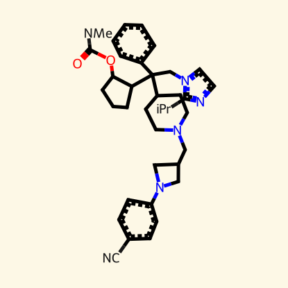 CNC(=O)OC1CCCC1C(Cn1ccnc1C(C)C)(c1ccccc1)C1CCN(CC2CN(c3ccc(C#N)cc3)C2)CC1